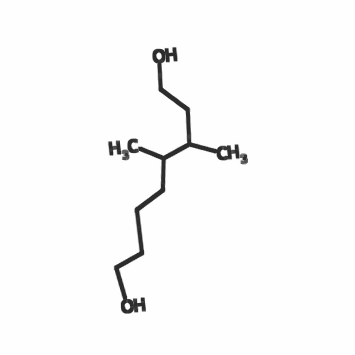 CC(CCO)C(C)CCCCO